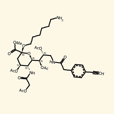 C#Cc1ccc(CC(=O)NC[C@@H](OC(C)=O)[C@@H](OC(C)=O)[C@@H]2O[C@@](OCCCCCCN)(C(=O)OC)C[C@H](OC(C)=O)[C@H]2NC(=O)COC(C)=O)cc1